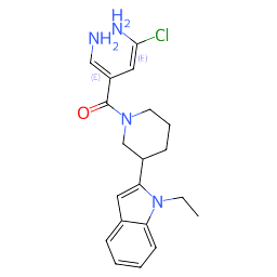 CCn1c(C2CCCN(C(=O)C(/C=C(\N)Cl)=C/N)C2)cc2ccccc21